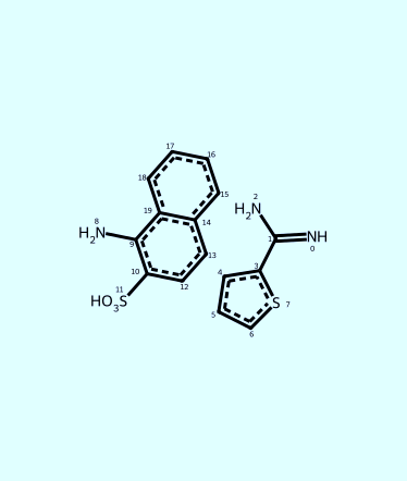 N=C(N)c1cccs1.Nc1c(S(=O)(=O)O)ccc2ccccc12